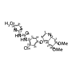 COc1cc2nccc(Oc3ccc(NC(=O)Nc4nc(C)cs4)c(Cl)c3)c2cc1OC